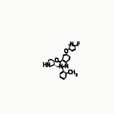 Cc1ccccc1-c1nc2ccc(Oc3ccc(F)nc3)cc2c(=O)n1C[C@H]1CCCNC1